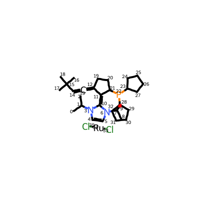 CC(C)N1C=CN(C(C)C)C1=C1C(=C=CC(C)(C)C)CCC1P(C1CCCC1)C1CCCC1.[Cl][Ru][Cl]